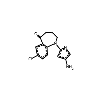 Nc1cnc(N2CCCC(=O)c3cc(Cl)ccc32)s1